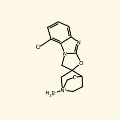 [BH3-][N+]12CCC(CC1)C1(Cn3c(nc4cccc(Cl)c43)O1)C2